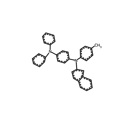 Cc1ccc(N(c2ccc(N(c3ccccc3)c3ccccc3)cc2)c2ccc3ccccc3c2)cc1